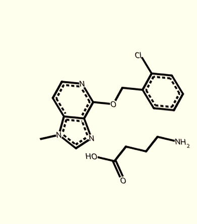 Cn1cnc2c(OCc3ccccc3Cl)nccc21.NCCCC(=O)O